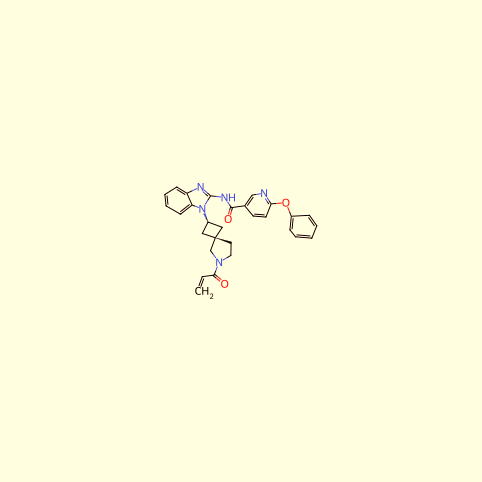 C=CC(=O)N1CC[C@]2(C1)C[C@H](n1c(NC(=O)c3ccc(Oc4ccccc4)nc3)nc3ccccc31)C2